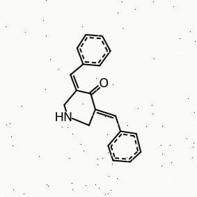 O=C1C(=Cc2ccccc2)CNCC1=Cc1ccccc1